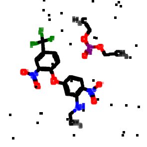 CCNc1cc(Oc2ccc(C(F)(F)F)cc2[N+](=O)[O-])ccc1[N+](=O)[O-].CCO[PH](=O)OCC